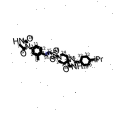 Cc1cc(N2C(=O)CNC2=O)ccc1/C=C/S(=O)(=O)N1CCC2(CC1)N=C(C1CCC(C(C)C)CC1)NC2=O